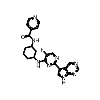 O=C(NC1CCCC(Nc2nc(-c3c[nH]c4ncncc34)ncc2F)C1)c1ccncc1